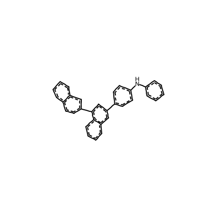 c1ccc(Nc2ccc(-c3cc(-c4ccc5ccccc5c4)c4ccccc4c3)cc2)cc1